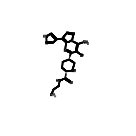 CCCNC(=O)[C@@H]1CC[C@H](c2nc3c(-c4cn[nH]c4)cnn3c(N)c2Br)CN1